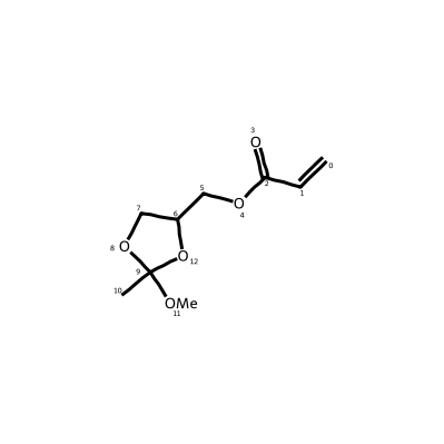 C=CC(=O)OCC1COC(C)(OC)O1